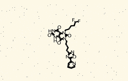 O=c1[nH]c(=O)c2c([nH]1)c(=O)n(CCCCc1noc(-c3ccccn3)n1)c(=O)n2CCCCC(F)F